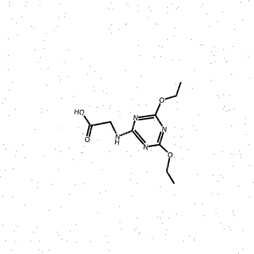 CCOc1nc(NCC(=O)O)nc(OCC)n1